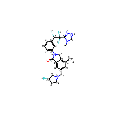 Cn1cnnc1C(F)(F)C(F)c1cccc(N2Cc3c(cc(CN4CCC(F)C4)cc3C(F)(F)F)C2=O)c1